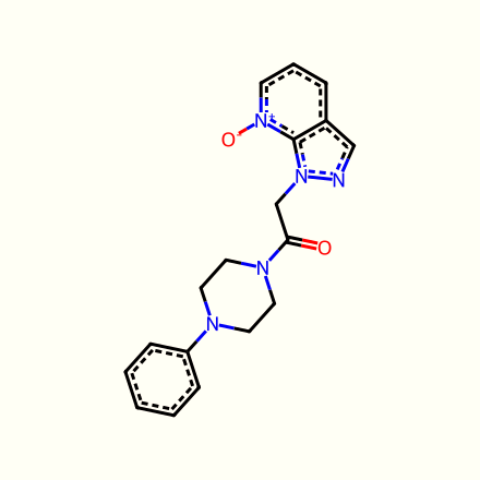 O=C(Cn1ncc2ccc[n+]([O-])c21)N1CCN(c2ccccc2)CC1